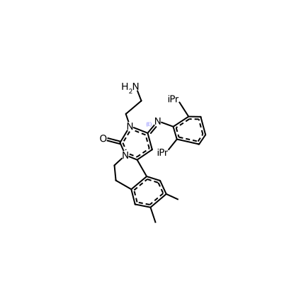 Cc1cc2c(cc1C)-c1c/c(=N\c3c(C(C)C)cccc3C(C)C)n(CCN)c(=O)n1CC2